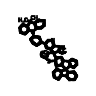 CC1(C)c2ccccc2N(c2cccc(-c3cnc4c(c3)C3(c5ccccc5Sc5cc6c(cc53)-c3ccccc3C63c5ccccc5-c5ccccc53)c3cccnc3-4)c2)c2ccccc21